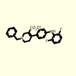 CCOC(=O)C1=C(c2ccc(Nc3c(F)cccc3F)cc2)CCN(Cc2ccccc2)C1